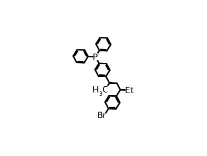 CCC(CC(C)c1ccc(P(c2ccccc2)c2ccccc2)cc1)c1ccc(Br)cc1